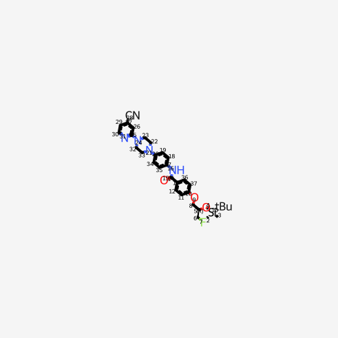 CC(C)(C)[Si](C)(C)O[C@@H](CF)COc1ccc(C(=O)Nc2ccc(N3CCN(c4cc(C#N)ccn4)CC3)cc2)cc1